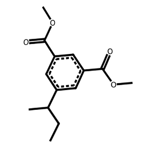 CCC(C)c1cc(C(=O)OC)cc(C(=O)OC)c1